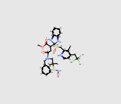 COC(=O)C(CC(=O)N(Cc1ccccc1)CC(C)(C)SN=O)C1([S+]([O-])Cc2nccc(CC(F)(F)F)c2C)N=c2ccccc2=N1